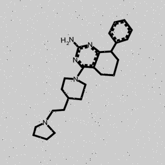 Nc1nc2c(c(N3CCC(CCN4CCCC4)CC3)n1)CCCC2c1ccccc1